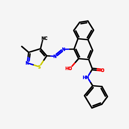 [C-]#[N+]c1c(C)nsc1/N=N/c1c(O)c(C(=O)Nc2ccccc2)cc2ccccc12